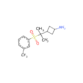 CC(C)(C1CC(N)C1)S(=O)(=O)c1cccc(C(F)(F)F)c1